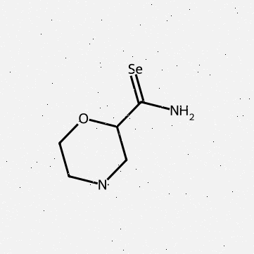 NC(=[Se])C1C[N]CCO1